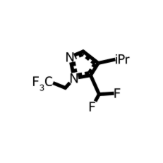 CC(C)c1cnn(CC(F)(F)F)c1C(F)F